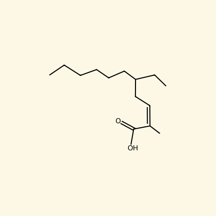 CCCCCCC(CC)CC=C(C)C(=O)O